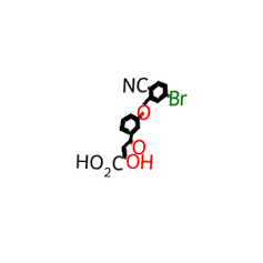 N#Cc1ccc(Br)cc1COc1cccc(C(=O)C=C(O)C(=O)O)c1